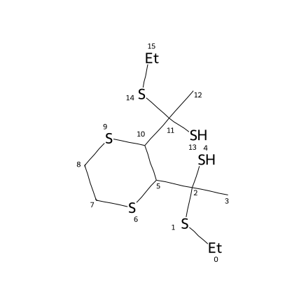 CCSC(C)(S)C1SCCSC1C(C)(S)SCC